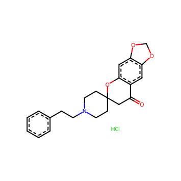 Cl.O=C1CC2(CCN(CCc3ccccc3)CC2)Oc2cc3c(cc21)OCO3